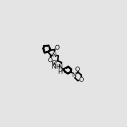 NOC(CNc1ccc(N2CCOCC2=O)cc1)CN1C(=O)c2ccccc2C1=O